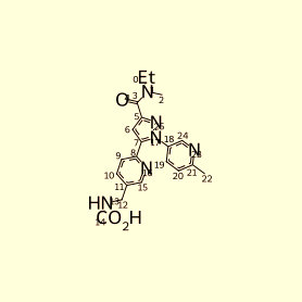 CCN(C)C(=O)c1cc(-c2ccc(CNC(=O)O)cn2)n(-c2ccc(C)nc2)n1